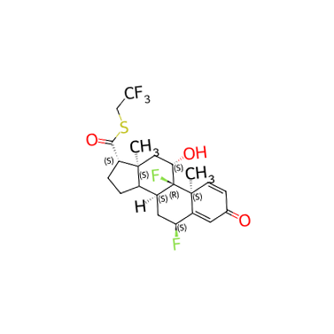 C[C@]12C[C@H](O)[C@@]3(F)[C@@H](C[C@H](F)C4=CC(=O)C=C[C@@]43C)C1CC[C@@H]2C(=O)SCC(F)(F)F